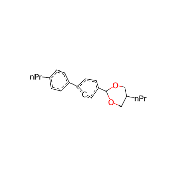 CCCc1ccc(-c2ccc(C3OCC(CCC)CO3)cc2)cc1